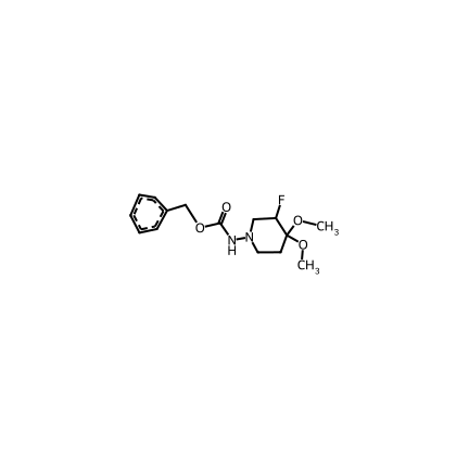 COC1(OC)CCN(NC(=O)OCc2ccccc2)CC1F